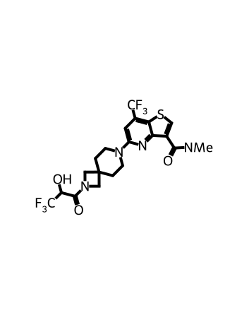 CNC(=O)c1csc2c(C(F)(F)F)cc(N3CCC4(CC3)CN(C(=O)C(O)C(F)(F)F)C4)nc12